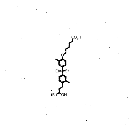 CCC(CC)(c1ccc(CCC(O)C(C)(C)C)c(C)c1)c1ccc(OCCCCCC(=O)O)c(C)c1